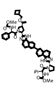 C=C(OCC1CCC1)[C@H]1C[C@@H](c2nc3ccc4cc(-c5ccc6c(ccc7nc([C@@H]8CC[C@H](C)N8C(=O)[C@@H](NC(=O)OC)C(C)C)[nH]c76)c5)ccc4c3[nH]2)N(C(=O)[C@H](NC(=O)OC)c2ccccc2)C1